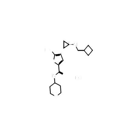 Cc1sc(C(=O)NC2CCOCC2)cc1[C@@H]1C[C@H]1NCC1CCC1.Cl